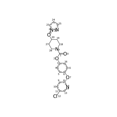 O=C(Oc1ccc(Oc2ccc(Cl)cn2)cc1)N1CCC(On2cccn2)CC1